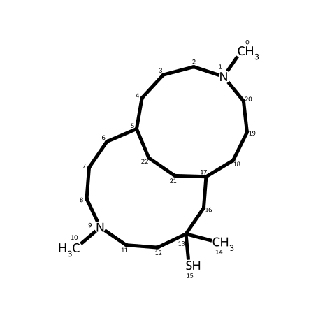 CN1CCCC2CCCN(C)CCC(C)(S)CC(CCC1)CC2